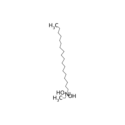 CCCCCCCCCCCCCCCCCC[N+](O)(O)CC